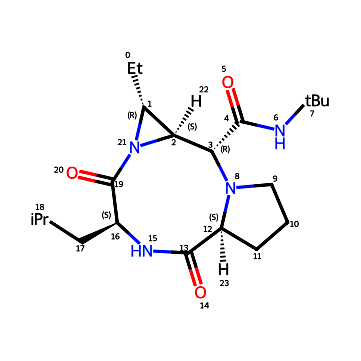 CC[C@@H]1[C@H]2[C@H](C(=O)NC(C)(C)C)N3CCC[C@H]3C(=O)N[C@@H](CC(C)C)C(=O)N21